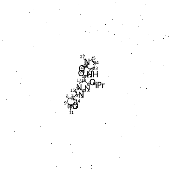 CC(C)Oc1nc2nc([C@]34CC[C@](C)(C3)OC4)cn2cc1C(=O)Nc1cccn(C)c1=O